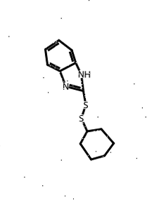 c1ccc2[nH]c(SSC3CCCCC3)nc2c1